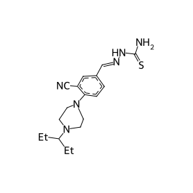 CCC(CC)N1CCN(c2ccc(/C=N/NC(N)=S)cc2C#N)CC1